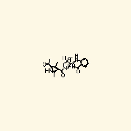 CC(=O)c1[nH]c(C)c(C(=O)N2C[C@H]3CC[C@]4(NC(=O)c5ccccc5N4)[C@H]3C2)c1C